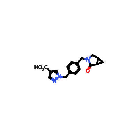 O=C(O)c1cnn(Cc2ccc(CN3CC4CC4C3=O)cc2)c1